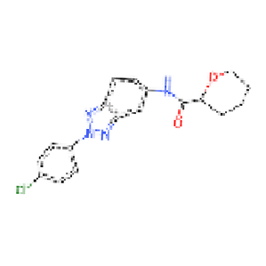 O=C(Nc1ccc2nn(-c3ccc(Cl)cc3)nc2c1)C1CCCCO1